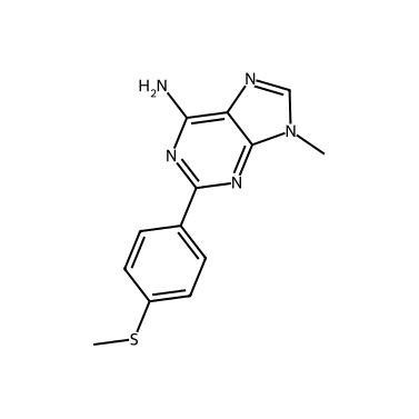 CSc1ccc(-c2nc(N)c3ncn(C)c3n2)cc1